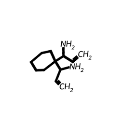 C=CC(N)C1(C(N)C=C)CCCCC1